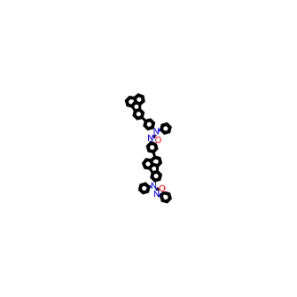 c1ccc(N(c2ccc3c(c2)-c2cccc4c(-c5ccc6nc(N(c7ccccc7)c7ccc(-c8ccc9c(c8)-c8cccc%10cccc-9c8%10)cc7)oc6c5)ccc-3c24)c2nc3ccccc3o2)cc1